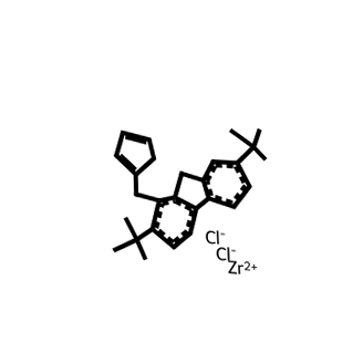 CC(C)(C)c1ccc2c(c1)Cc1c-2ccc(C(C)(C)C)c1CC1=CC=CC1.[Cl-].[Cl-].[Zr+2]